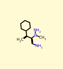 C=C(/C(=C/N)N(C)N)C1CCCCC1